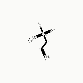 C=CCS(=O)(=O)[O-].[Ag+]